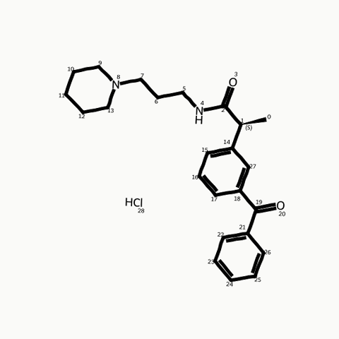 C[C@H](C(=O)NCCCN1CCCCC1)c1cccc(C(=O)c2ccccc2)c1.Cl